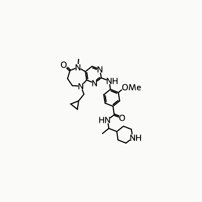 COc1cc(C(=O)NC(C)C2CCNCC2)ccc1Nc1ncc2c(n1)N(CC1CC1)CCC(=O)N2C